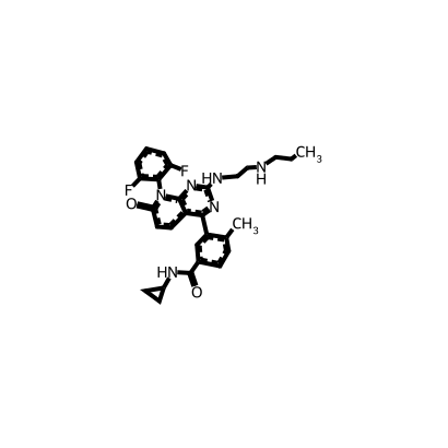 CCCNCCNc1nc(-c2cc(C(=O)NC3CC3)ccc2C)c2ccc(=O)n(-c3c(F)cccc3F)c2n1